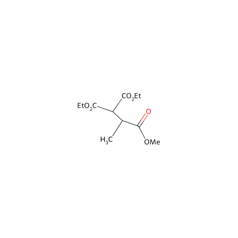 CCOC(=O)C(C(=O)OCC)C(C)C(=O)OC